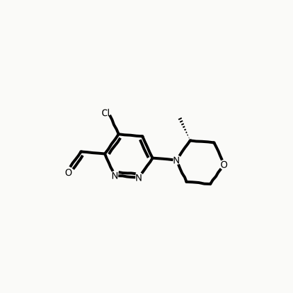 C[C@@H]1COCCN1c1cc(Cl)c(C=O)nn1